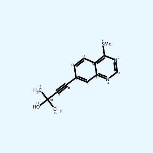 CSc1ncnc2cc(C#CC(C)(C)O)ccc12